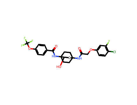 O=C(COc1ccc(Cl)c(F)c1)NC12CCC(NC(=O)c3ccc(OC(F)(F)F)cc3)(CC1)C(O)C2